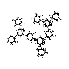 c1ccc(-c2cc(-c3ccc(-c4cc(-c5ccccn5)nc(-c5cccc(-c6nc(-c7ccccc7)cc(-c7ccccc7)n6)n5)c4)cc3)nc(-c3ccccc3)n2)cc1